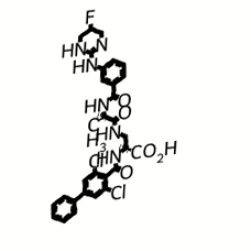 C[C@H](NC(=O)c1cccc(NC2=NCC(F)CN2)c1)C(=O)NC[C@H](NC(=O)c1c(Cl)cc(-c2ccccc2)cc1Cl)C(=O)O